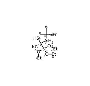 CCO[Si](OCC)(OCC)[C@](S)(CC)[SiH2]C(C)(C)C(C)C